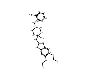 CCCc1cc2c(cc1CCC)CC(CC1(F)CCN(Cc3ccccc3F)CC1)C2